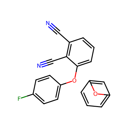 N#Cc1cccc(Oc2ccc(F)cc2)c1C#N.c1cc2cc(c1)O2